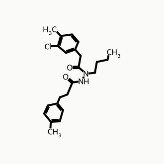 CCCCN(NC(=O)CCc1ccc(C)cc1)C(=O)Cc1ccc(C)c(Cl)c1